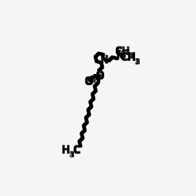 CCCCCCCCCCCCCCCCCCN(C=O)OCCC1CCCCN1CCCN(C)C